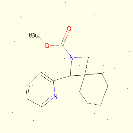 CC(C)(C)OC(=O)N1CC2(CCCCC2)C1c1ccccn1